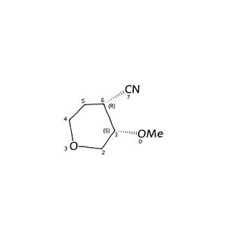 CO[C@@H]1COCC[C@@H]1C#N